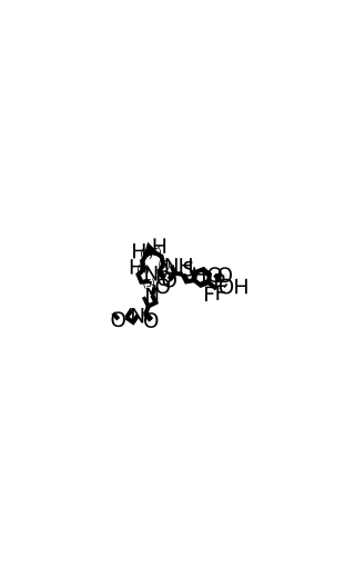 COC1CN(C(=O)C2CN(C(=O)[C@@H]3CC[C@@H]4C[C@H]5C[C@H]5C[C@H](NC(=O)c5cc6cc(C(F)(F)P(=O)(O)O)ccc6s5)C(=O)N43)C2)C1